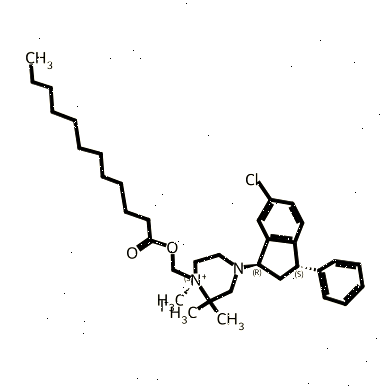 CCCCCCCCCCCC(=O)OC[N@@+]1(C)CCN([C@@H]2C[C@@H](c3ccccc3)c3ccc(Cl)cc32)CC1(C)C.[I-]